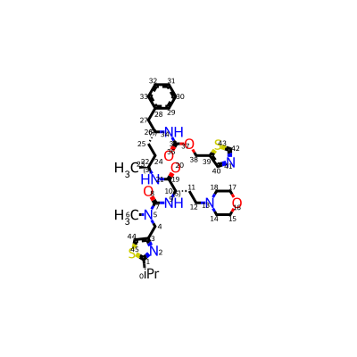 CC(C)c1nc(CN(C)C(=O)N[C@@H](CCN2CCOCC2)C(=O)N[C@@H](C)CC[C@H](Cc2ccccc2)NC(=O)OCc2cncs2)cs1